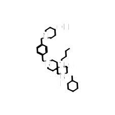 CCCCN1C(=O)[C@H](CC2CCCCC2)NC(=O)C12CCN(Cc1ccc(CN3CCC(O)CC3)cc1)CC2